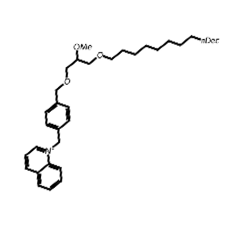 CCCCCCCCCCCCCCCCCCOCC(COCc1ccc(C[n+]2cccc3ccccc32)cc1)OC